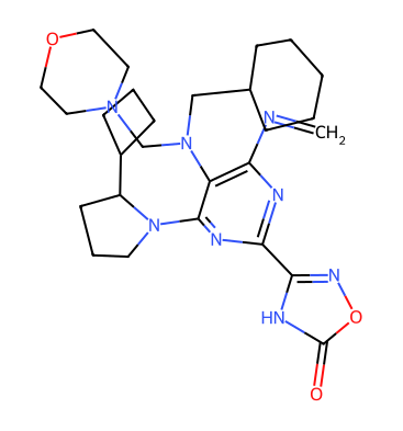 C=Nc1nc(-c2noc(=O)[nH]2)nc(N2CCCC2C2CCC2)c1N(CC1CCCCC1)CN1CCOCC1